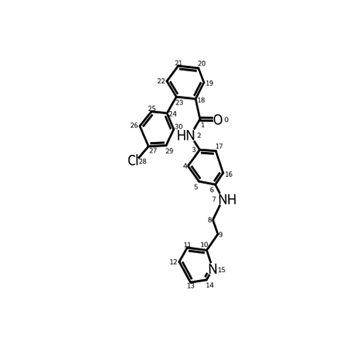 O=C(Nc1ccc(NCCc2ccccn2)cc1)c1ccccc1-c1ccc(Cl)cc1